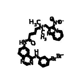 C[N+](C)(C/C=C/C(=O)Nc1ccc2ncnc(Nc3cccc(Br)c3)c2c1)Cc1nc2ccccn2c1[N+](=O)[O-].[Br-]